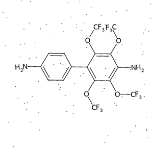 Nc1ccc(-c2c(OC(F)(F)F)c(OC(F)(F)F)c(N)c(OC(F)(F)F)c2OC(F)(F)F)cc1